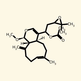 C=C1CC/C=C(\C)CC[C@@H]2C(C(CC3OC3(C)C)OC(C)=O)=CO[C@H](OC)[C@@H]12